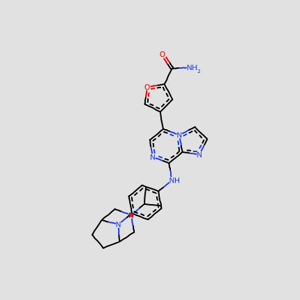 CC(C)N1CC2CCC(C1)N2c1ccc(Nc2ncc(-c3coc(C(N)=O)c3)n3ccnc23)cc1